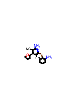 N#Cc1c(N)nc(Sc2ccccc2N)c(C#N)c1-c1ccco1